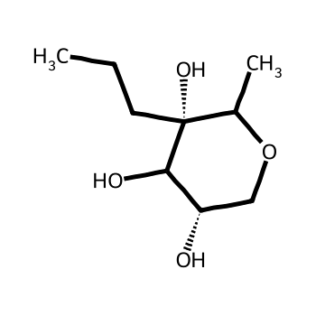 CCC[C@@]1(O)C(C)OC[C@H](O)C1O